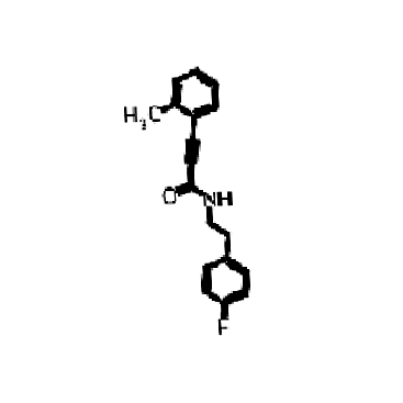 Cc1ccccc1C#CC(=O)NCCc1ccc(F)cc1